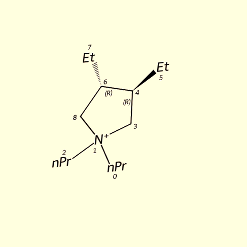 CCC[N+]1(CCC)C[C@H](CC)[C@@H](CC)C1